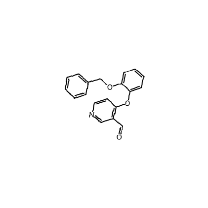 O=Cc1cnccc1Oc1ccccc1OCc1ccccc1